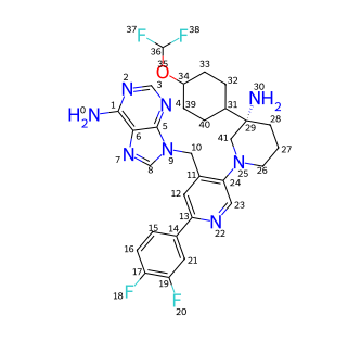 Nc1ncnc2c1ncn2Cc1cc(-c2ccc(F)c(F)c2)ncc1N1CCC[C@](N)(C2CCC(OC(F)F)CC2)C1